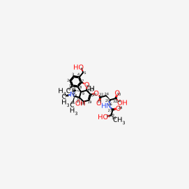 Cc1ccc(CO)c2c1[C@]13CCN(C)[C@H](C)[C@]1(O)CC=C(OC(=O)C[C@H](NC(=O)[C@H](C)O)C(=O)O)[C@@H]3O2